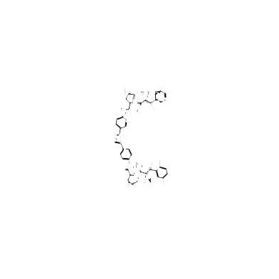 CN(C)[C@H](C(=O)N1CCCC1C(=O)Nc1ccc(-c2cnc(-c3ccc(NC(=O)C4CCCN4C(=O)[C@H]([C@@H](O)c4ccccc4)N(C)C)cc3)o2)cc1)[C@@H](O)c1ccccc1